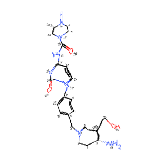 N[C@@H]1CCN(Cc2ccc(-n3ccc(NC(=O)N4CCNCC4)nc3=O)cc2)CC1CO